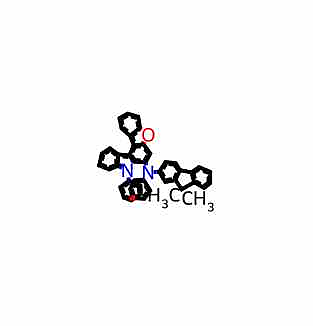 CC1(C)c2ccccc2-c2ccc(N(c3ccccc3)c3cc4oc5ccccc5c4c4c5ccccc5n(-c5ccccc5)c34)cc21